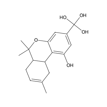 CC1=CCC2C(C1)c1c(O)cc(C(O)(O)O)cc1OC2(C)C